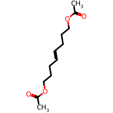 CC(=O)OCCCC=CCCCOC(C)=O